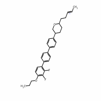 C/C=C/CCC1CCC(c2ccc(-c3ccc(-c4ccc(OCCC)c(F)c4F)cc3)cc2)CO1